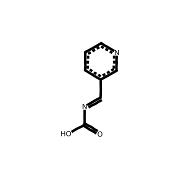 O=C(O)N=Cc1cccnc1